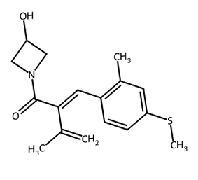 C=C(C)/C(=C\c1ccc(SC)cc1C)C(=O)N1CC(O)C1